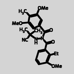 CCc1c(OC)cccc1C(=O)N(NC(C)(C)C#N)C(=O)c1cc(OC)c(C)c(OC)c1